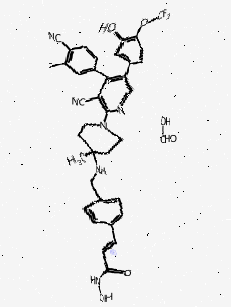 CC1(NCc2ccc(/C=C/C(=O)NO)cc2)CCN(c2ncc(-c3ccc(OC(F)(F)F)c(O)c3)c(-c3ccc(C#N)c(F)c3)c2C#N)CC1.O=CO